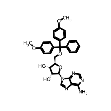 COc1ccc(C(OC[C@H]2O[C@@H](n3cnc4c(N)ncnc43)[C@H](O)[C@@H]2O)(c2ccccc2)c2ccc(OC)cc2)cc1